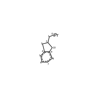 CC(C)CC1Cc2ccccc2C1